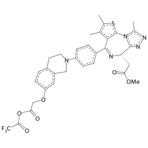 COC(=O)C[C@@H]1N=C(c2ccc(N3CCc4ccc(OCC(=O)OC(=O)C(F)(F)F)cc4C3)cc2)c2c(sc(C)c2C)-n2c(C)nnc21